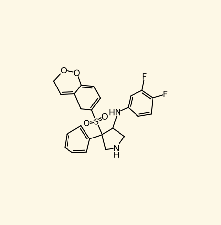 O=S(=O)(C1=CC=C2OOCC=C2C1)C1(c2ccccc2)CNCC1Nc1ccc(F)c(F)c1